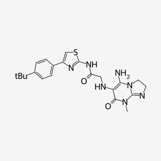 CN1C(=O)C(NCC(=O)Nc2nc(-c3ccc(C(C)(C)C)cc3)cs2)=C(N)N2CCN=C12